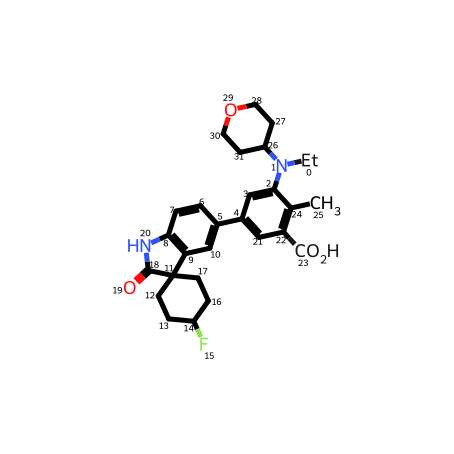 CCN(c1cc(-c2ccc3c(c2)C2(CCC(F)CC2)C(=O)N3)cc(C(=O)O)c1C)C1CCOCC1